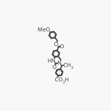 COc1ccc(COC(=O)c2ccc3c(c2)CN(C(C)c2ccc(C(=O)O)cc2)C(=O)N3)cc1